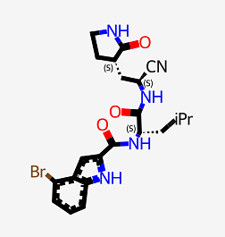 CC(C)C[C@H](NC(=O)c1cc2c(Br)cccc2[nH]1)C(=O)N[C@H](C#N)C[C@@H]1CCNC1=O